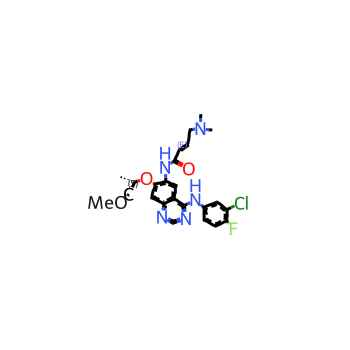 COC[C@H](C)Oc1cc2ncnc(Nc3ccc(F)c(Cl)c3)c2cc1NC(=O)/C=C/CN(C)C